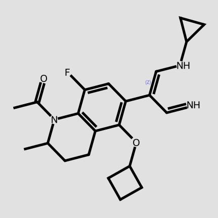 CC(=O)N1c2c(F)cc(/C(C=N)=C/NC3CC3)c(OC3CCC3)c2CCC1C